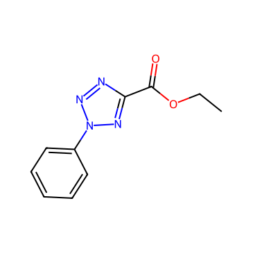 CCOC(=O)c1nnn(-c2ccccc2)n1